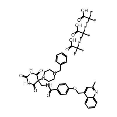 Cc1cc(COc2ccc(C(=O)NCC3(N4CCN(Cc5ccccc5)CC4)C(=O)NC(=O)NC3=O)cc2)c2ccccc2n1.O=C(O)C(F)(F)F.O=C(O)C(F)(F)F.O=C(O)C(F)(F)F